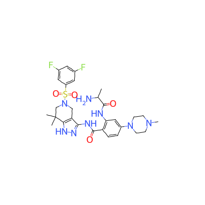 CC(N)C(=O)Nc1cc(N2CCN(C)CC2)ccc1C(=O)Nc1n[nH]c2c1CN(S(=O)(=O)c1cc(F)cc(F)c1)CC2(C)C